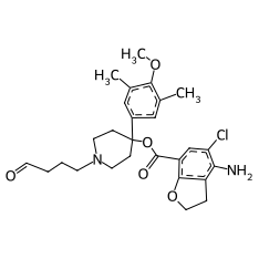 COc1c(C)cc(C2(OC(=O)c3cc(Cl)c(N)c4c3OCC4)CCN(CCCC=O)CC2)cc1C